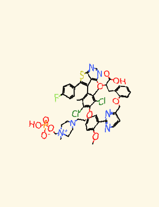 COc1ccccc1-c1nccc(COc2ccccc2CC(Oc2ncnc3sc(-c4ccc(F)cc4)c(-c4c(C)c(Cl)c(OCCN5CC[N+](C)(COP(=O)([O-])O)CC5)c(Cl)c4C)c23)C(=O)O)n1